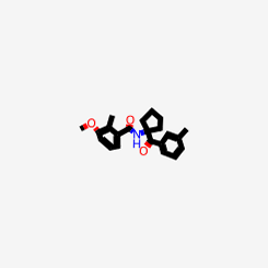 COc1cccc(C(=O)NC2(C(=O)c3cccc(C)c3)CCCC2)c1C